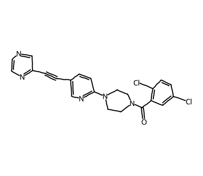 O=C(c1cc(Cl)ccc1Cl)N1CCN(c2ccc(C#Cc3cnccn3)cn2)CC1